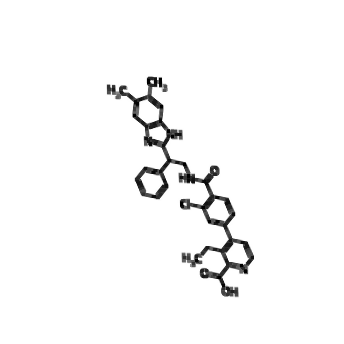 CCc1c(-c2ccc(C(=O)NCC(c3ccccc3)c3nc4cc(C)c(C)cc4[nH]3)c(Cl)c2)ccnc1C(=O)O